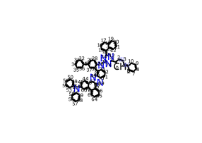 C=C(/C=C\C=C1\C=CC=CC1)c1nc(-c2cccc3ccccc23)nc(-n2c3ccc(-c4ccccc4)cc3c3c4nc5c6ccc(N(c7ccccc7)c7ccccc7)cc6c6ccccc6c5nc4ccc32)n1